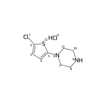 Cl.Clc1ccc(N2CCNCC2)s1